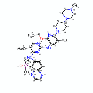 CCc1cc(Nc2ncc(OC)c(Nc3ccc4nccnc4c3P(C)(C)=O)n2)c(OCC(F)(F)F)nc1N1CCC(N2CCN(C)CC2)CC1